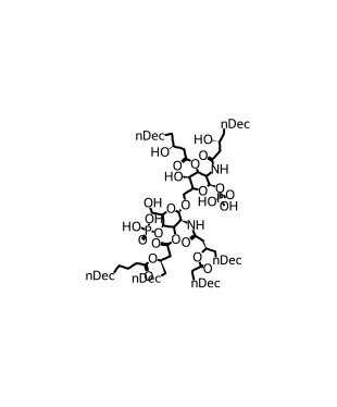 CCCCCCCCCCCCCC(=O)O[C@H](CCCCCCCCCCC)CC(=O)OC1[C@H](OP(=O)(O)O)C(CO)O[C@@H](OCC2O[C@H](OP(=O)(O)O)C(NC(=O)C[C@H](O)CCCCCCCCCCC)C(OC(=O)C[C@H](O)CCCCCCCCCCC)[C@@H]2O)[C@H]1NC(=O)C[C@@H](CCCCCCCCCCC)OC(=O)CCCCCCCCCCC